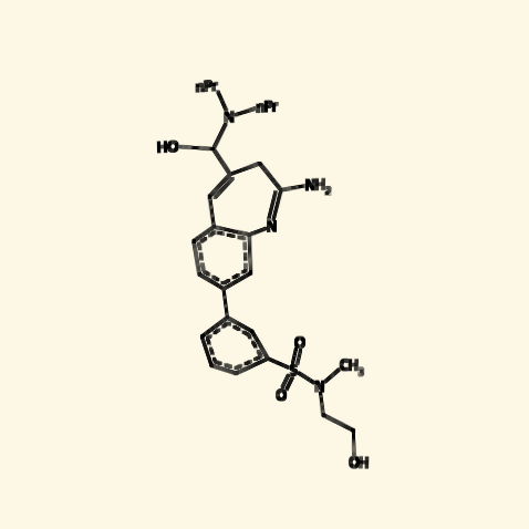 CCCN(CCC)C(O)C1=Cc2ccc(-c3cccc(S(=O)(=O)N(C)CCO)c3)cc2N=C(N)C1